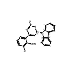 CSc1c(Cl)cccc1-c1cc(-n2c3ccccc3c3ccccc32)nc(Cl)n1